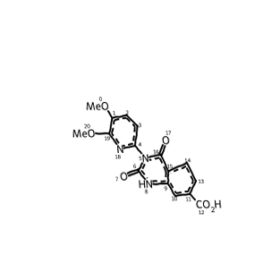 COc1ccc(-n2c(=O)[nH]c3cc(C(=O)O)ccc3c2=O)nc1OC